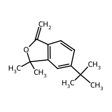 C=C1OC(C)(C)c2cc(C(C)(C)C)ccc21